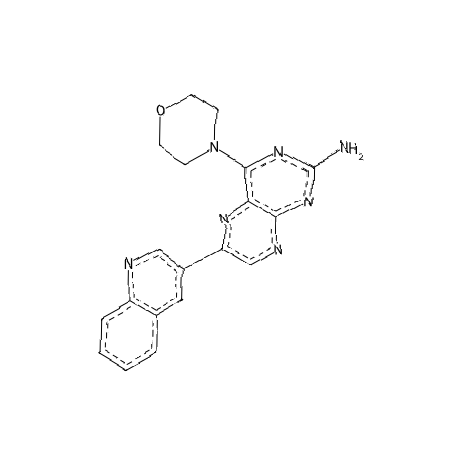 Nc1nc(N2CCOCC2)c2nc(-c3cnc4ccccc4c3)cnc2n1